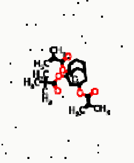 C=C(C)C(=O)OC12CC3CCC(C(OC(=O)C(C)(C)C)C1)C(OC(=O)C(=C)C)(C3)C2